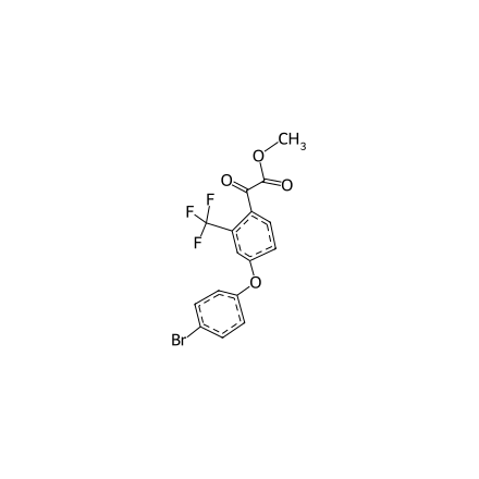 COC(=O)C(=O)c1ccc(Oc2ccc(Br)cc2)cc1C(F)(F)F